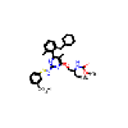 Cc1cccc(CC2CCCCC2)c1-c1nc(NSc2cccc(C(=O)O)c2)nc(OCC(CC(C)(C)C)NC(=O)OC(C)(C)C)c1C